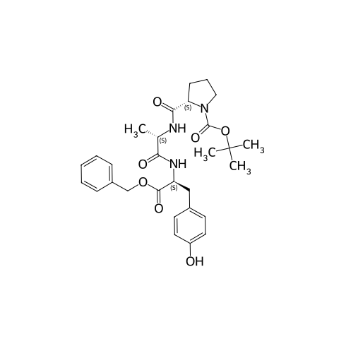 C[C@H](NC(=O)[C@@H]1CCCN1C(=O)OC(C)(C)C)C(=O)N[C@@H](Cc1ccc(O)cc1)C(=O)OCc1ccccc1